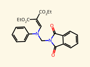 CCOC(=O)C(=CN(CN1C(=O)c2ccccc2C1=O)c1ccccc1)C(=O)OCC